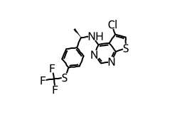 C[C@@H](Nc1ncnc2scc(Cl)c12)c1ccc(SC(F)(F)F)cc1